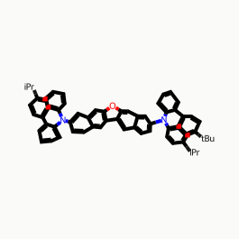 CC(C)c1ccc(-c2ccccc2N(c2ccccc2)c2ccc3cc4c(cc3c2)oc2cc3cc(N(c5ccc(C(C)C)cc5)c5ccccc5-c5ccc(C(C)(C)C)cc5)ccc3cc24)cc1